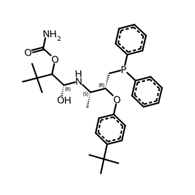 C[C@H](N[C@H](O)C(OC(N)=O)C(C)(C)C)[C@H](CP(c1ccccc1)c1ccccc1)Oc1ccc(C(C)(C)C)cc1